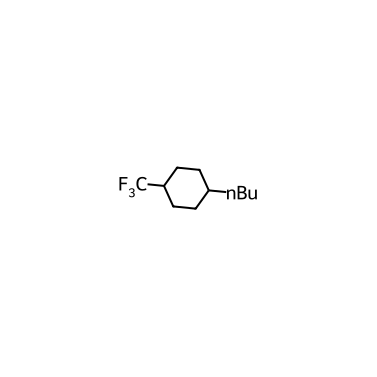 CCCCC1CCC(C(F)(F)F)CC1